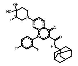 O=C(NC12CC3CC(CC(C3)C1)C2)c1cn(-c2ccc(F)cc2F)c2nc(N3CCC(O)(O)[C@H](F)C3)ccc2c1=O